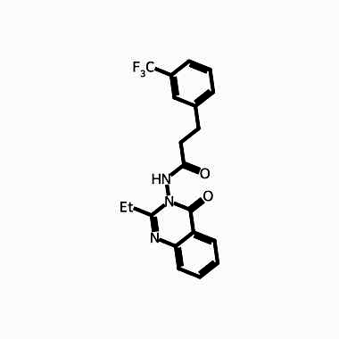 CCc1nc2ccccc2c(=O)n1NC(=O)CCc1cccc(C(F)(F)F)c1